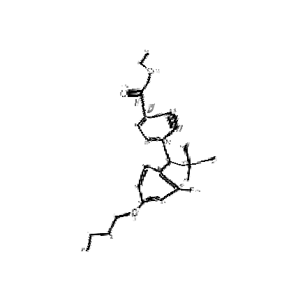 CCCCOc1ccc(C(c2ccc(C(=O)OCC)cc2)C(C)(C)C)c(F)c1